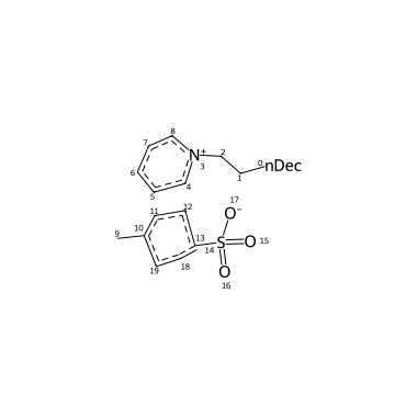 CCCCCCCCCCCC[n+]1ccccc1.Cc1ccc(S(=O)(=O)[O-])cc1